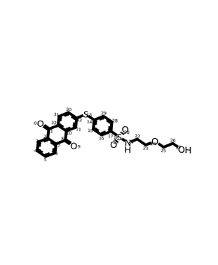 O=C1c2ccccc2C(=O)c2cc(Sc3ccc(S(=O)(=O)NCCOCCO)cc3)ccc21